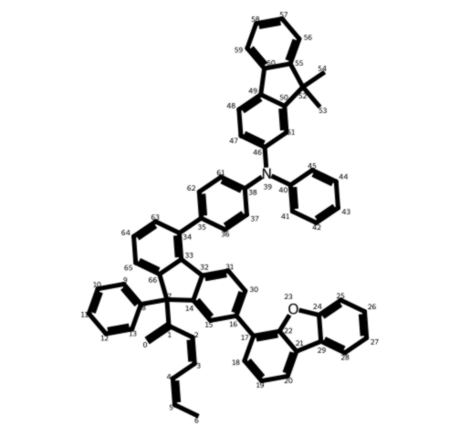 C=C(/C=C\C=C/C)C1(c2ccccc2)c2cc(-c3cccc4c3oc3ccccc34)ccc2-c2c(-c3ccc(N(c4ccccc4)c4ccc5c(c4)C(C)(C)c4ccccc4-5)cc3)cccc21